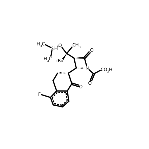 C[SiH](C)O[C@](C)([C@H]1C(=O)N(C(=O)C(=O)O)[C@@H]1[C@H]1CCc2c(F)cccc2C1=O)C(C)(C)C